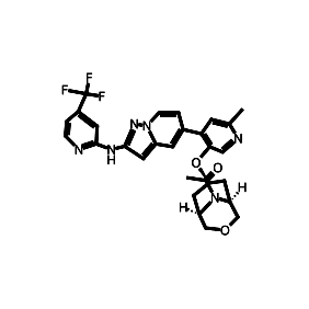 CC(=O)N1[C@@H]2COC[C@H]1C[C@@H](Oc1cnc(C)cc1-c1ccn3nc(Nc4cc(C(F)(F)F)ccn4)cc3c1)C2